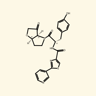 O=C(N[C@@H](Cc1ccc(O)cc1)C(=O)N1CC[C@H]2OCC(=O)[C@H]21)c1csc(-c2cccnc2)n1